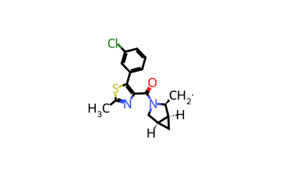 [CH2][C@H]1[C@H]2C[C@H]2CN1C(=O)c1nc(C)sc1-c1cccc(Cl)c1